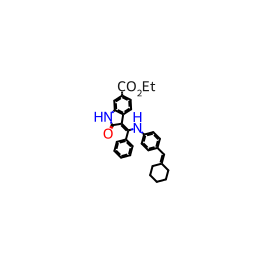 CCOC(=O)c1ccc2c(c1)NC(=O)C2=C(Nc1ccc(C=C2CCCCC2)cc1)c1ccccc1